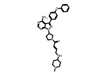 CN1CCC(NCC=CC(=O)N2CCC(n3nc(-c4ccc(Oc5ccccc5)cc4)c4c(N)ncnc43)C2)CC1